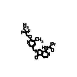 Cc1cc(CN2Cc3c(ccnc3NC(=O)C(C)C)C2=O)cnc1OCC(C)(F)F